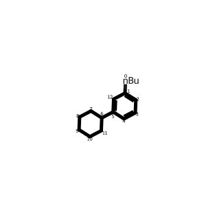 CCCCc1cc[c]c(C2CCCCC2)c1